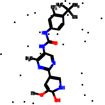 CCOC1=CC(c2ncc(NC(=O)Nc3ccc(C(C)(C)C#N)c(C(F)(F)F)c3)c(C)n2)=CNC1O